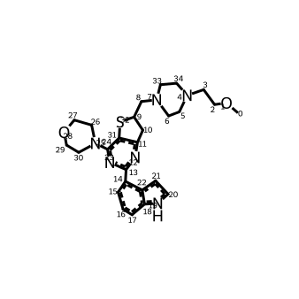 COCCN1CCN(CC2Cc3nc(-c4cccc5[nH]ccc45)nc(N4CCOCC4)c3S2)CC1